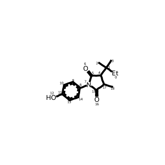 CCC(C)(C)C1C(=O)N(c2ccc(O)cc2)C(=O)C1C